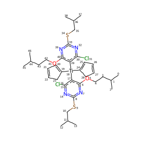 CC(C)CCOc1nc(SCC(C)C)nc(Cl)[c]1[Ti]([C]1=CC=CC1)([C]1=CC=CC1)[c]1c(Cl)nc(SCC(C)C)nc1OCCC(C)C